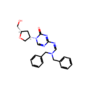 O=c1nc(/N=C\N(Cc2ccccc2)Cc2ccccc2)ncn1[C@@H]1CO[C@H](CO)C1